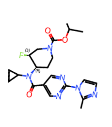 Cc1nccn1-c1ncc(C(=O)N(C2CC2)[C@@H]2CCN(C(=O)OC(C)C)C[C@@H]2F)cn1